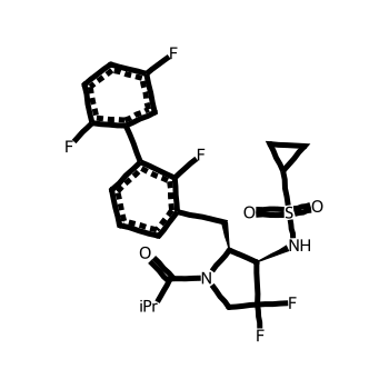 CC(C)C(=O)N1CC(F)(F)[C@H](NS(=O)(=O)C2CC2)[C@@H]1Cc1cccc(-c2cc(F)ccc2F)c1F